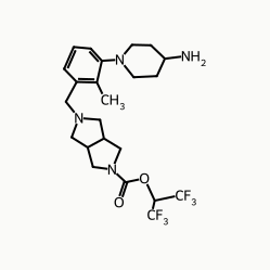 Cc1c(CN2CC3CN(C(=O)OC(C(F)(F)F)C(F)(F)F)CC3C2)cccc1N1CCC(N)CC1